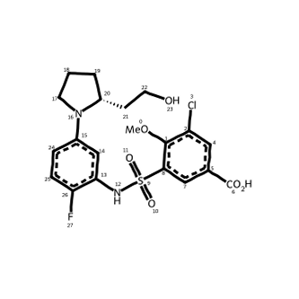 COc1c(Cl)cc(C(=O)O)cc1S(=O)(=O)Nc1cc(N2CCC[C@@H]2CCO)ccc1F